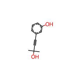 CC(C)(O)C#Cc1cccc(O)c1